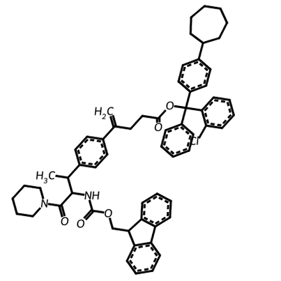 C=C(CCC(=O)OC(c1ccccc1)(c1ccc(C2CCCCCC2)cc1)c1ccccc1Cl)c1ccc(C(C)C(NC(=O)OCC2c3ccccc3-c3ccccc32)C(=O)N2CCCCC2)cc1